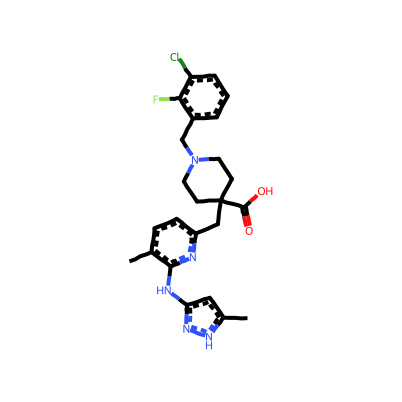 Cc1cc(Nc2nc(CC3(C(=O)O)CCN(Cc4cccc(Cl)c4F)CC3)ccc2C)n[nH]1